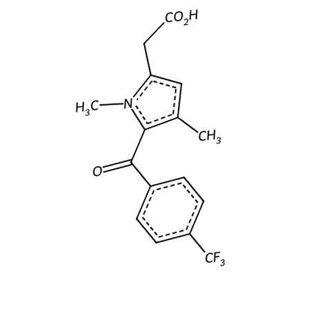 Cc1cc(CC(=O)O)n(C)c1C(=O)c1ccc(C(F)(F)F)cc1